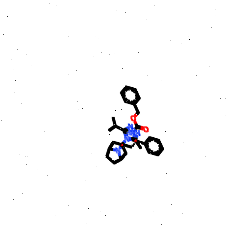 Cc1nnc(C(C)C)n1C1CC2CCC(C1)N2CC[C@H](NC(=O)OCc1ccccc1)c1ccccc1